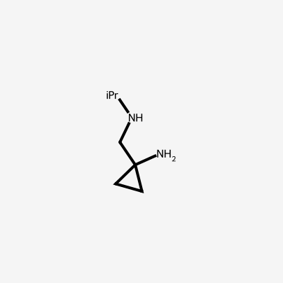 CC(C)NCC1(N)CC1